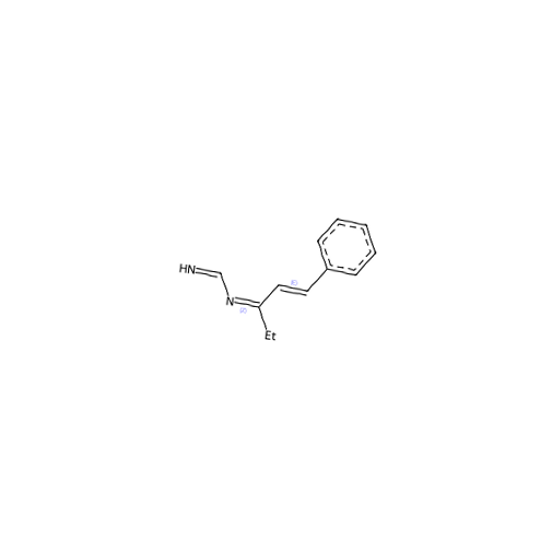 CCC(/C=C/c1ccccc1)=N/C=N